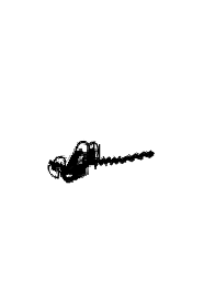 CCCCCCCCCCCCCCCCCCN(C=O)c1cccc(OC(C)=O)c1CO